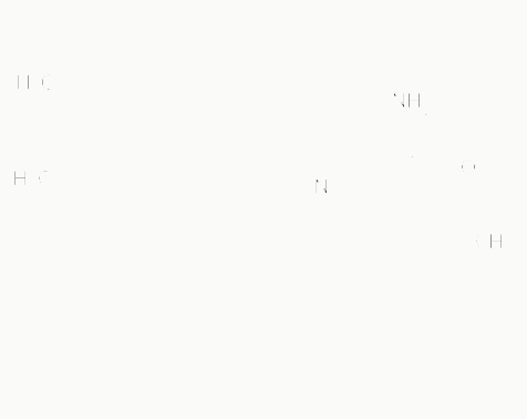 CCc1c(C(N)=O)n(Cc2ccc(C(C)C)cc2)c2ccccc12